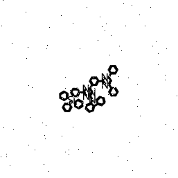 c1ccc(-c2cc(-c3ccccc3)nc(-c3cccc(-c4nc(-c5cccc([Si](c6ccccc6)(c6ccccc6)c6ccccc6)c5)nc(-n5c6ccccc6c6ccccc65)n4)c3)n2)cc1